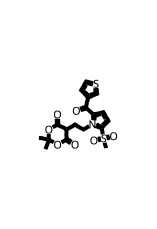 CC1(C)OC(=O)C(CCn2c(C(=O)c3ccsc3)ccc2S(C)(=O)=O)C(=O)O1